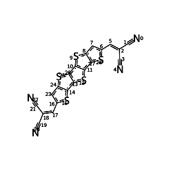 N#CC(C#N)=Cc1cc2sc3c(sc4c5sc(C=C(C#N)C#N)cc5sc43)c2s1